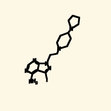 Nc1ncnc2c1c(I)nn2CCN1CCC(N2CCCC2)CC1